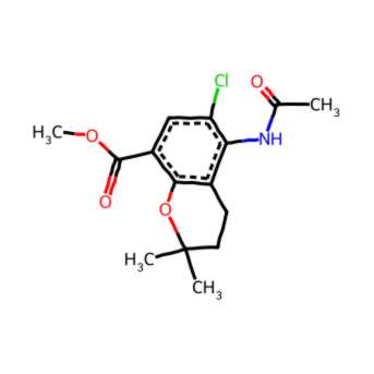 COC(=O)c1cc(Cl)c(NC(C)=O)c2c1OC(C)(C)CC2